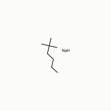 [CH2]CCCC(C)(C)C.[NaH]